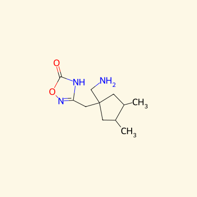 CC1CC(CN)(Cc2noc(=O)[nH]2)CC1C